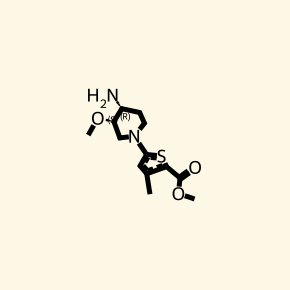 COC(=O)c1sc(N2CC[C@@H](N)[C@@H](OC)C2)cc1C